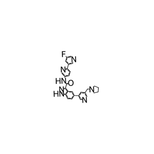 O=C(Nc1ccc(-c2cncc(F)c2)nc1)c1n[nH]c2ccc(-c3cncc(CN4CCCC4)c3)cc12